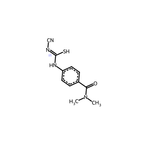 CN(C)C(=O)c1ccc(N/C(S)=N/C#N)cc1